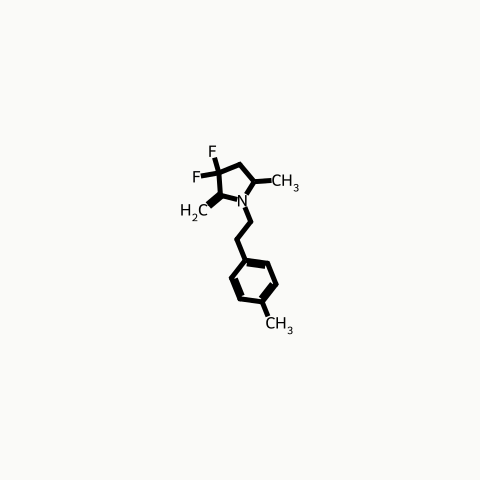 C=C1N(CCc2ccc(C)cc2)C(C)CC1(F)F